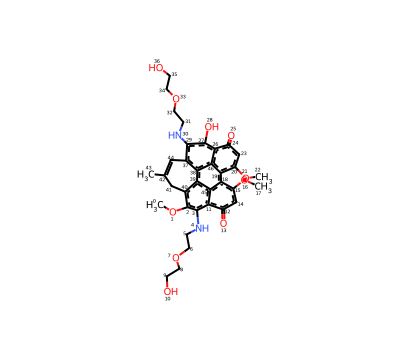 COc1c(NCCOCCO)c2c(=O)cc(OC)c3c4c(OC)cc(=O)c5c(O)c(NCCOCCO)c6c(c(c1CC(C)=C6)c23)c54